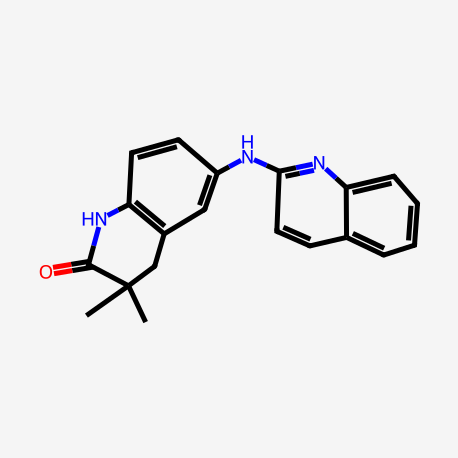 CC1(C)Cc2cc(Nc3ccc4ccccc4n3)ccc2NC1=O